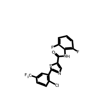 O=C(Nc1c(F)cccc1F)c1cnc(-c2cc(C(F)(F)F)ccc2Cl)s1